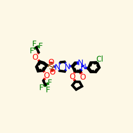 O=c1c(OC2CCCC2)c(N2CCN(S(=O)(=O)c3cc(OCC(F)(F)F)ccc3OCC(F)(F)F)CC2)cnn1-c1cccc(Cl)c1